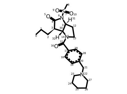 CCC[C@H]1C(=O)N(S(C)(=O)=O)[C@H]2CCN(C(=O)c3ccc(CN4CCCCC4)cc3)[C@H]12